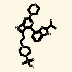 CS(=O)(=O)N1CCN(CCc2n[nH]c3nc(N4CCOCC4)nc(-c4cccc5[nH]c(C(F)F)nc45)c23)CC1